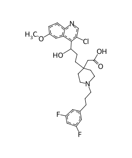 COc1ccc2ncc(Cl)c(C(O)CCC3(CC(=O)O)CCN(CCCc4cc(F)cc(F)c4)CC3)c2c1